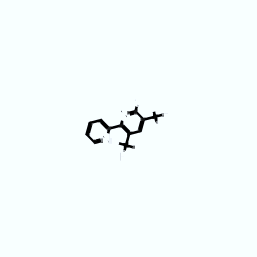 FC(F)(F)c1cc(C(F)(F)F)c(-c2ccccn2)nc1Cl